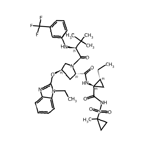 CC[C@@H]1C[C@]1(NC(=O)[C@@H]1C[C@@H](Oc2nc3ccccc3n2CC)CN1C(=O)[C@@H](Nc1cccc(C(F)(F)F)c1)C(C)(C)C)C(=O)NS(=O)(=O)C1(C)CC1